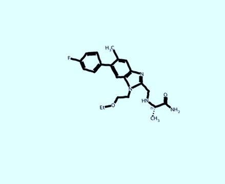 CCOCCn1c(CN[C@@H](C)C(N)=O)nc2cc(C)c(-c3ccc(F)cc3)cc21